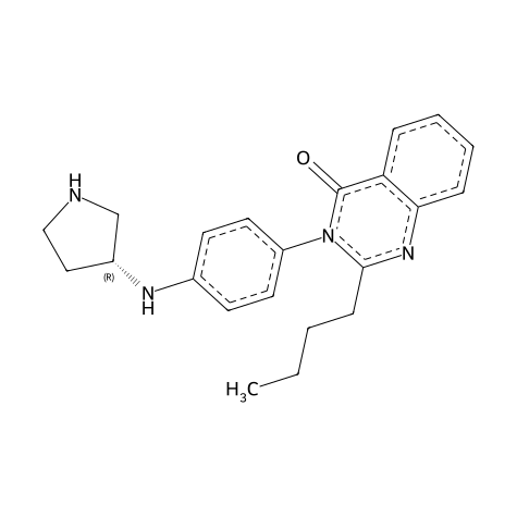 CCCCc1nc2ccccc2c(=O)n1-c1ccc(N[C@@H]2CCNC2)cc1